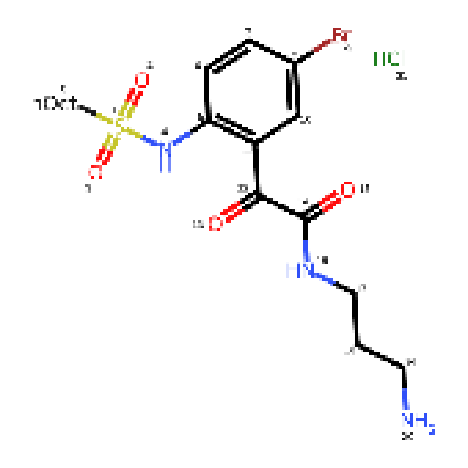 CCCCCCCCS(=O)(=O)Nc1ccc(Br)cc1C(=O)C(=O)NCCCN.Cl